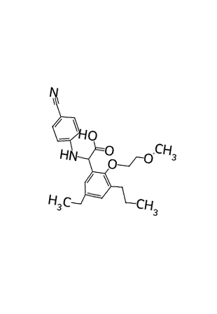 CCCc1cc(CC)cc(C(Nc2ccc(C#N)cc2)C(=O)O)c1OCCOC